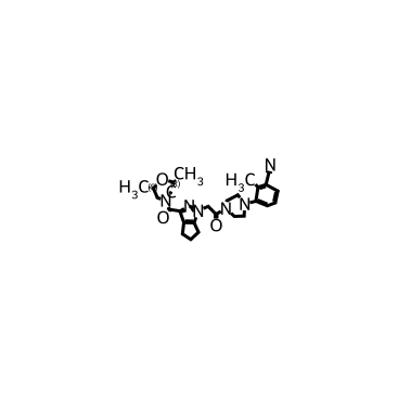 Cc1c(C#N)cccc1N1CCN(C(=O)Cn2nc(C(=O)N3C[C@@H](C)O[C@@H](C)C3)c3c2CCC3)CC1